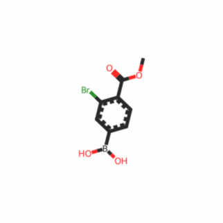 COC(=O)c1ccc(B(O)O)cc1Br